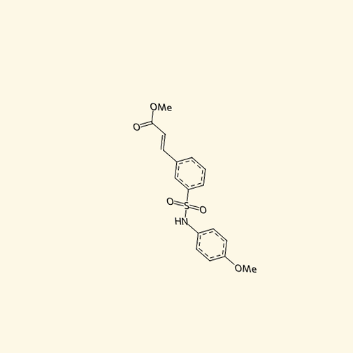 COC(=O)C=Cc1cccc(S(=O)(=O)Nc2ccc(OC)cc2)c1